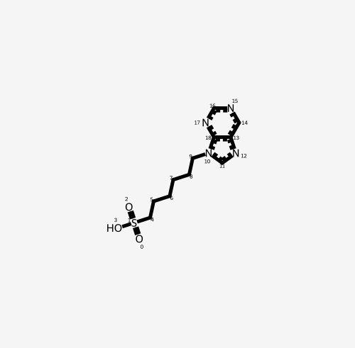 O=S(=O)(O)CCCCCCn1cnc2cncnc21